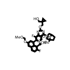 C#Cc1c(F)ccc2cc(OCOC)cc(-c3ncc4c(N5CC6CCC(C(C)(C)C)(C5)N6C(=O)O)nc(OCC5(CO)CC5)nc4c3F)c12